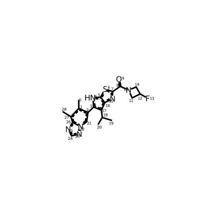 Cc1c(-c2[nH]c3sc(C(=O)N4CC(F)C4)nc3c2C(C)C)cn2ncnc2c1C